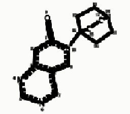 O=c1cc2ncncc2cn1C12CCN(CC1)CC2